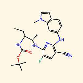 CC[C@H](NC(=O)OC(C)(C)C)[C@@H](C)Nc1nc(Nc2ccc3ccn(C)c3c2)c(C#N)cc1F